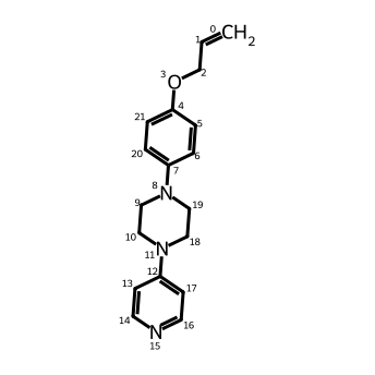 C=CCOc1ccc(N2CCN(c3ccncc3)CC2)cc1